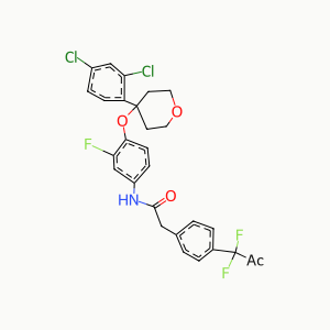 CC(=O)C(F)(F)c1ccc(CC(=O)Nc2ccc(OC3(c4ccc(Cl)cc4Cl)CCOCC3)c(F)c2)cc1